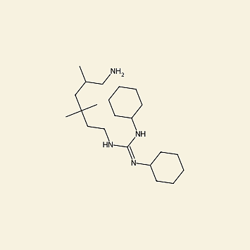 CC(CN)CC(C)(C)CCNC(=NC1CCCCC1)NC1CCCCC1